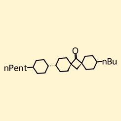 CCCCCC1CCC([C@H]2CC[C@]3(CC2)C[C@@]2(CCC(CCCC)CC2)C3=O)CC1